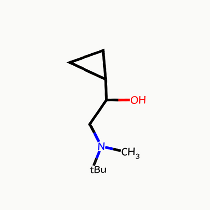 CN(CC(O)C1CC1)C(C)(C)C